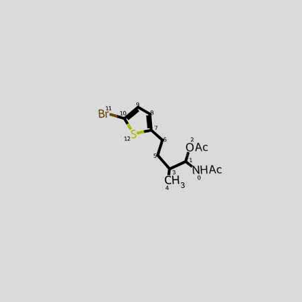 CC(=O)NC(OC(C)=O)C(C)CCc1ccc(Br)s1